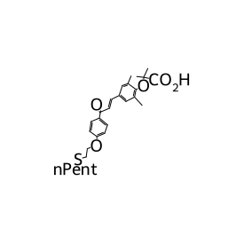 CCCCCSCCOc1ccc(C(=O)C=Cc2cc(C)c(OC(C)(C)C(=O)O)c(C)c2)cc1